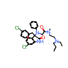 CCCN(CC)CCN(C)C(=O)CN(c1ccccc1)C1(Cc2cccc(Cl)c2)C(=O)Nc2cc(Cl)ccc21